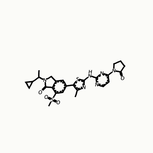 Cc1nc(Nc2nccc(N3CCCC3=O)n2)sc1-c1cc2c(c(S(C)(=O)=O)c1)C(=O)N(C(C)C1CC1)C2